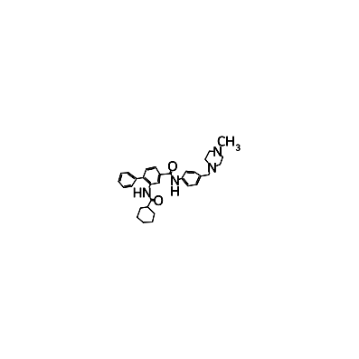 CN1CCN(Cc2ccc(NC(=O)c3ccc(-c4ccccc4)c(NC(=O)C4CCCCC4)c3)cc2)CC1